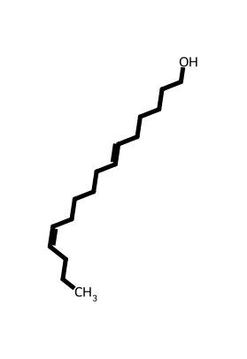 CCC/C=C\CCCCC=CCCCCCO